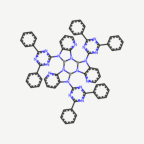 c1ccc(-c2nc(-c3ccccc3)nc(N3B4N(B5N(B6N4c4ncccc4N6c4nc(-c6ccccc6)nc(-c6ccccc6)n4)c4ncccc4N5c4nc(-c5ccccc5)nc(-c5ccccc5)n4)c4ncccc43)n2)cc1